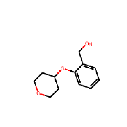 OCc1ccccc1OC1CCOCC1